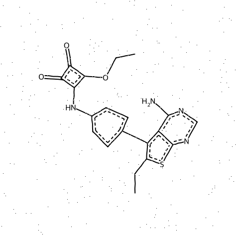 CCOc1c(Nc2ccc(-c3c(CC)sc4ncnc(N)c34)cc2)c(=O)c1=O